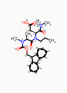 CCCN(C(=O)[C@H](C)N(C)C(=O)OCC1c2ccccc2-c2ccccc21)[C@@H](CC(=O)O)C(=O)N(C)C